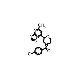 Cc1cc(C2CN(C(=O)c3ccc(Cl)cc3)CCO2)n2ncnc2n1